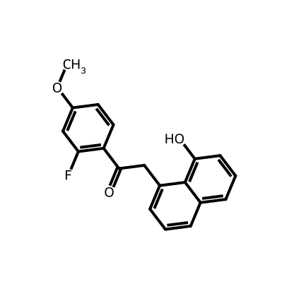 COc1ccc(C(=O)Cc2cccc3cccc(O)c23)c(F)c1